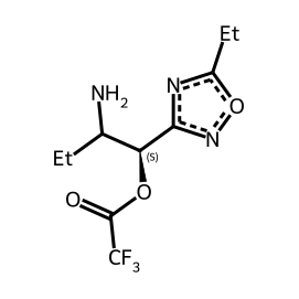 CCc1nc([C@@H](OC(=O)C(F)(F)F)C(N)CC)no1